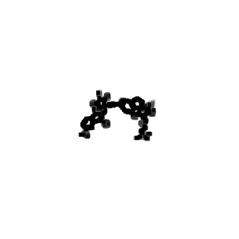 COc1ccc2c(c1)C(=O)N(C[C@@]1(C#Cc3ccc4c(c3)CCC43NC(=O)N(COCC[Si](C)(C)C)C3=O)NC(=O)NC1=O)C2